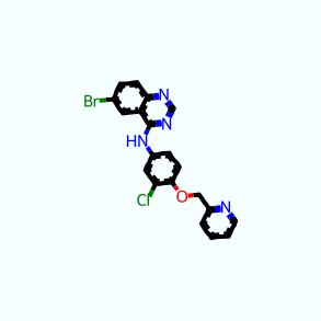 Clc1cc(Nc2ncnc3ccc(Br)cc23)ccc1OCc1ccccn1